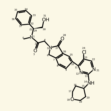 CN(C(=O)CN1Cc2ccc(-c3nc(NC4CCOCC4)ncc3Cl)cc2C1=O)[C@H](CO)c1ccccc1